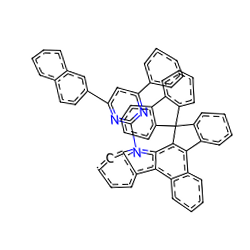 c1ccc(-c2cc(-c3ccc4ccccc4c3)nc(-n3c4ccccc4c4c5ccccc5c5c(c43)C3(c4ccccc4-c4ccccc43)c3ccccc3-5)n2)cc1